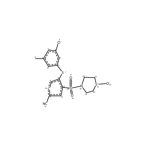 Cc1cc(Cl)cc(Sc2ccc(C#N)cc2S(=O)(=O)N2CC[S+]([O-])CC2)c1